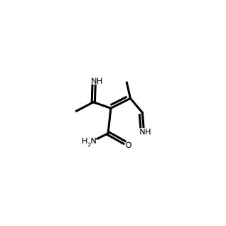 CC(=N)/C(C(N)=O)=C(\C)C=N